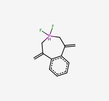 C=C1C[PH](F)(F)CC(=C)c2ccccc21